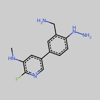 CNc1cc(-c2ccc(NN)c(CN)c2)cnc1F